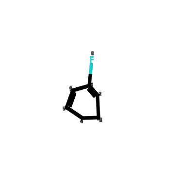 FC1=C[C]CC=[C]1